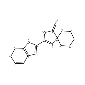 O=C1OC(c2cc3c(s2)CCC=C3)=NC12CCCCC2